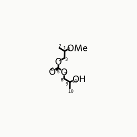 COC(C)COC(=O)OCC(C)O